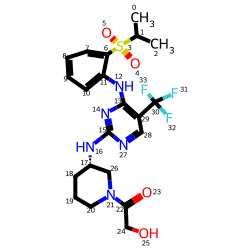 CC(C)S(=O)(=O)c1ccccc1Nc1nc(N[C@H]2CCCN(C(=O)CO)C2)ncc1C(F)(F)F